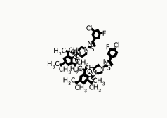 CC(C)c1cc(C(C)C)c(S(=O)(=O)N2CCN(c3nc(-c4cc(F)cc(Cl)c4)cs3)CC2)c(C(C)C)c1.CC(C)c1cc(C(C)C)c(S(=O)(=O)N2CCN(c3nc(-c4ccc(Cl)c(F)c4)cs3)CC2)c(C(C)C)c1